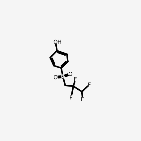 O=S(=O)(CC(F)(F)C(F)F)c1ccc(O)cc1